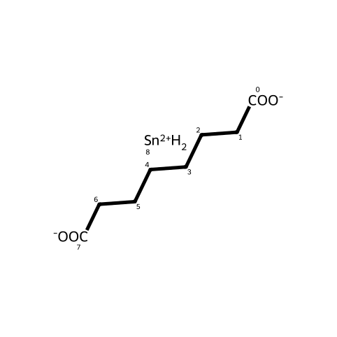 O=C([O-])CCCCCCC(=O)[O-].[SnH2+2]